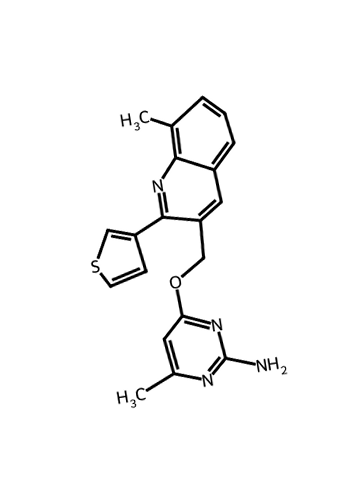 Cc1cc(OCc2cc3cccc(C)c3nc2-c2ccsc2)nc(N)n1